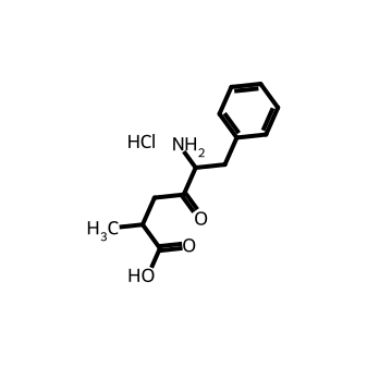 CC(CC(=O)C(N)Cc1ccccc1)C(=O)O.Cl